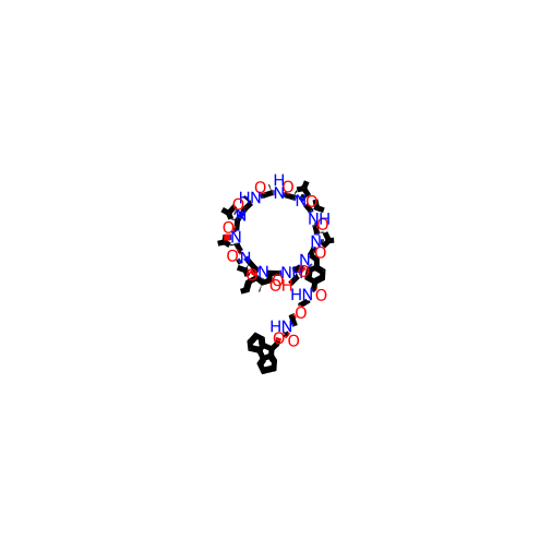 C/C=C/C[C@@H](C)[C@@H](O)[C@H]1C(=O)N[C@@H](CC)C(=O)N(C)C(Cc2ccc(C(=O)NCCOCCNC(=O)OCC3c4ccccc4-c4ccccc43)cc2)C(=O)N(C)[C@@H](CC(C)C)C(=O)N[C@@H](C(C)C)C(=O)N(C)[C@@H](CC(C)C)C(=O)N[C@@H](C)C(=O)N[C@H](C)C(=O)N(C)[C@@H](CC(C)C)C(=O)N(C)[C@@H](CC(C)C)C(=O)N(C)[C@@H](C(C)C)C(=O)N1C